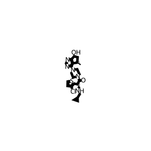 C[C@@H]1C[C@@H](O)c2ncnc(N3CCN(C(=O)[C@H](CNCC4CC4)c4sccc4Cl)CC3)c21